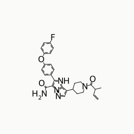 C=CC(C)C(=O)N1CCC(c2cnn3c(C(N)=O)c(-c4ccc(Oc5ccc(F)cc5)cc4)[nH]c23)CC1